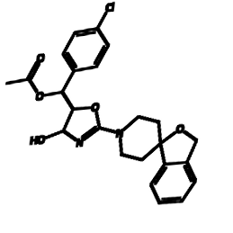 CC(=O)OC(c1ccc(Cl)cc1)C1OC(N2CCC3(CC2)OCc2ccccc23)=NC1O